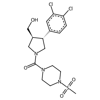 CS(=O)(=O)N1CCN(C(=O)N2C[C@@H](CO)[C@H](c3ccc(Cl)c(Cl)c3)C2)CC1